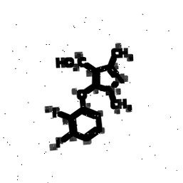 Cc1nn(C)c(Oc2cccc(F)c2F)c1C(=O)O